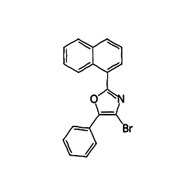 Brc1nc(-c2cccc3ccccc23)oc1-c1ccccc1